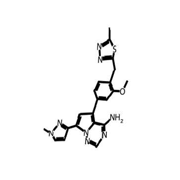 COc1cc(-c2cc(-c3ccn(C)n3)n3ncnc(N)c23)ccc1Cc1nnc(C)s1